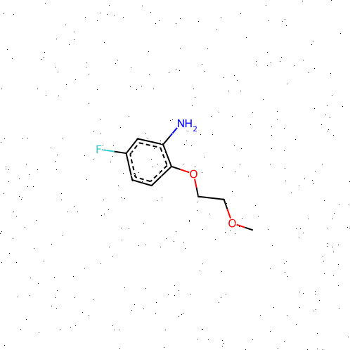 COCCOc1ccc(F)cc1N